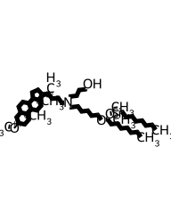 CCCCCCCC[Si](C)(C)OC(CCCCCCC)OCCCCCCN(CCCCO)CCC[C@@H](C)C1CCC2C3CCC4C[C@H](OC)CC[C@]4(C)C3CC[C@@]21C